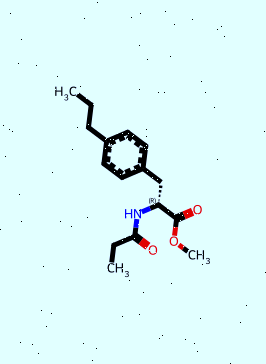 CCCc1ccc(C[C@@H](NC(=O)CC)C(=O)OC)cc1